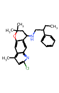 CCC(CNC1CC(C)(C)Oc2cc3c(C)cc(Cl)nc3cc21)c1ccccc1